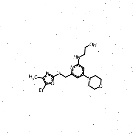 CCc1oc(SCc2cc(N3CCOCC3)cc(NCCO)n2)nc1C